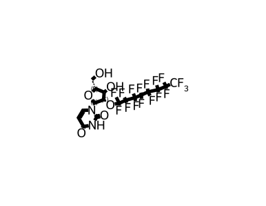 O=c1ccn([C@@H]2O[C@H](CO)C(O)[C@@H]2OC(F)(F)C(F)(F)C(F)(F)C(F)(F)C(F)(F)C(F)(F)C(F)(F)C(F)(F)F)c(=O)[nH]1